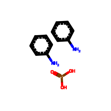 Nc1ccccc1.Nc1ccccc1.O=S(O)O